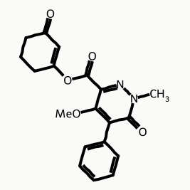 COc1c(C(=O)OC2=CC(=O)CCC2)nn(C)c(=O)c1-c1ccccc1